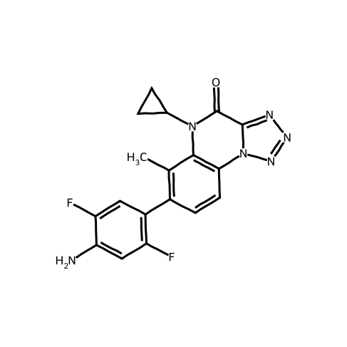 Cc1c(-c2cc(F)c(N)cc2F)ccc2c1n(C1CC1)c(=O)c1nnnn12